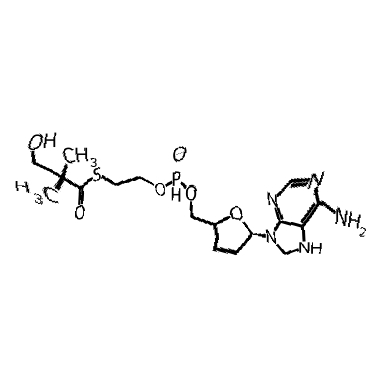 CC(C)(CO)C(=O)SCCO[PH](=O)OCC1CC[C@H](N2CNc3c(N)ncnc32)O1